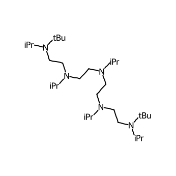 CC(C)N(CCN(CCN(C(C)C)C(C)(C)C)C(C)C)CCN(CCN(C(C)C)C(C)(C)C)C(C)C